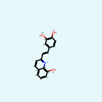 Oc1ccc(C=Cc2ccc3cccc(O)c3n2)cc1O